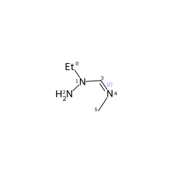 CCN(N)/C=N\C